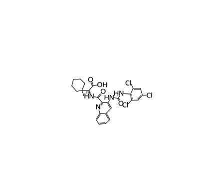 CC1([C@H](NC(=O)c2nc3ccccc3cc2NC(=O)Nc2c(Cl)cc(Cl)cc2Cl)C(=O)O)CCCCC1